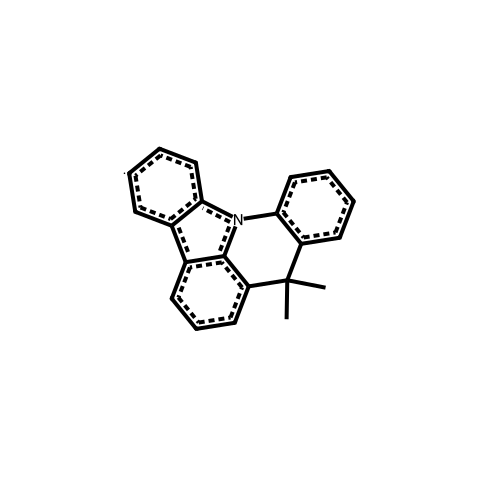 CC1(C)c2ccccc2-n2c3cc[c]cc3c3cccc1c32